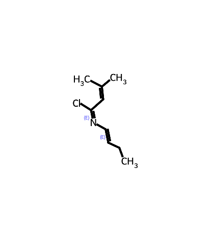 CC/C=C/N=C(/Cl)C=C(C)C